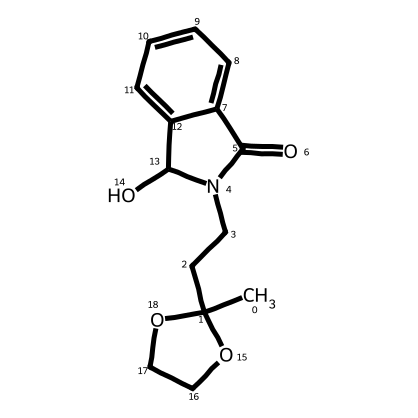 CC1(CCN2C(=O)c3ccccc3C2O)OCCO1